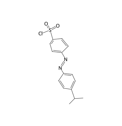 CC(C)c1ccc(N=Nc2ccc(S(=O)(=O)Cl)cc2)cc1